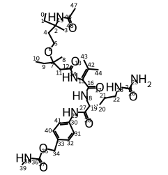 CCC(C)(CCOC(C)(CC)CC(=O)NC(C(=O)N[C@H](CCCNC(N)=O)C(=O)Nc1ccc(COC(=O)NC)cc1)=C(C)C)NC(C)=O